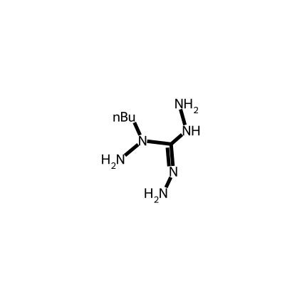 CCCCN(N)/C(=N\N)NN